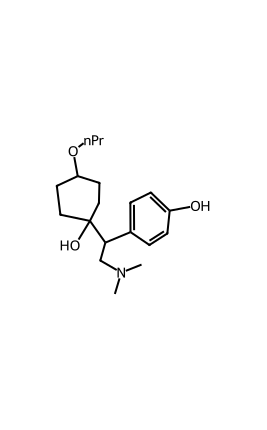 CCCOC1CCC(O)(C(CN(C)C)c2ccc(O)cc2)CC1